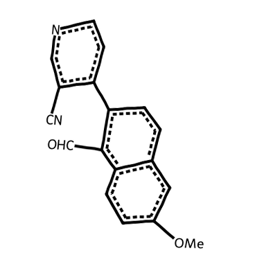 COc1ccc2c(C=O)c(-c3ccncc3C#N)ccc2c1